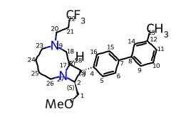 COC[C@@H]1[C@@H](c2ccc(-c3cccc(C)c3)cc2)[C@@H]2CN(CCC(F)(F)F)CCCCN12